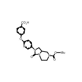 CC(C)(C)OC(=O)N1CCN2C(=O)N(c3ccc(Oc4ccc(C(=O)O)cc4)nc3)CC2C1